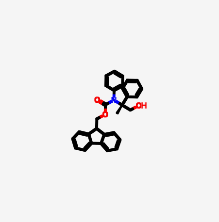 C[C@](CO)(c1ccccc1)N(C(=O)OCC1c2ccccc2-c2ccccc21)c1ccccc1